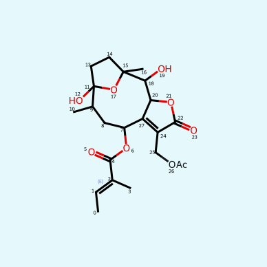 C/C=C(\C)C(=O)OC1CC(C)C2(O)CCC(C)(O2)C(O)C2OC(=O)C(COC(C)=O)=C12